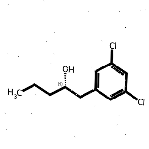 CCC[C@H](O)Cc1cc(Cl)cc(Cl)c1